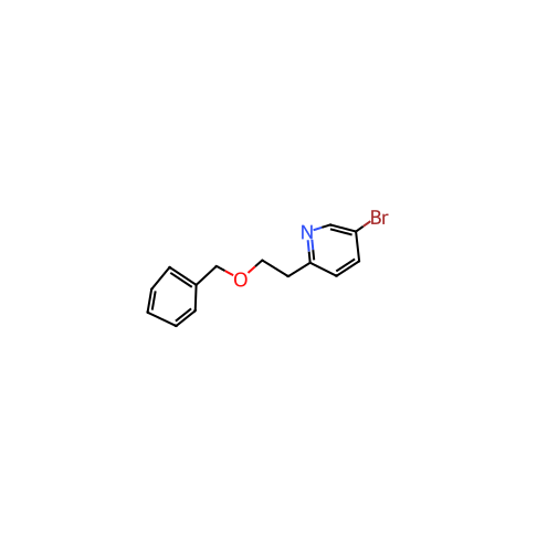 Brc1ccc(CCOCc2ccccc2)nc1